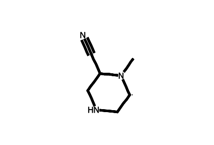 CN1[CH]CNCC1C#N